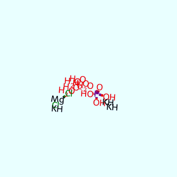 O.O.O.O.O.O.O=P(O)(O)O.[Cl][Mg][Cl].[KH].[KH].[KH]